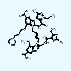 CCc1nc(C)sc1C(=O)Nc1nc2cc(C(N)=O)cc(SC)c2n1C/C=C/Cn1c(NC(=O)c2cc(C)nn2CC)nc2cc(C(N)=O)cc(OCCCN3CCOCC3)c21